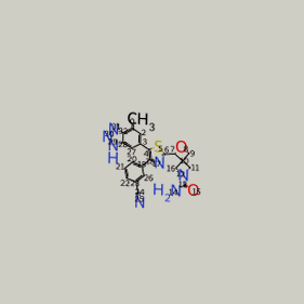 Cc1cc(-c2sc(C3OCC34CN(C(N)=O)C4)nc2-c2cccc(C#N)c2)cc2[nH]nnc12